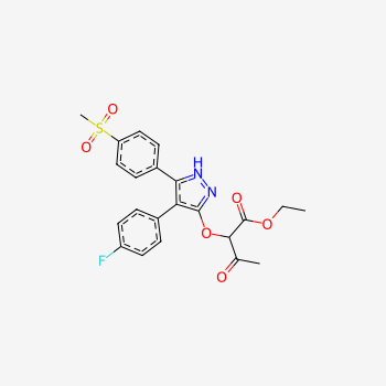 CCOC(=O)C(Oc1n[nH]c(-c2ccc(S(C)(=O)=O)cc2)c1-c1ccc(F)cc1)C(C)=O